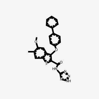 COc1cc2c(Oc3ccc(-c4ccccc4)cc3)c(C(=O)Nc3nn[nH]n3)sc2cc1C